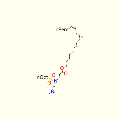 CCCCC/C=C\C/C=C\CCCCCCCCOC(=O)CCN(CCN(C)C)S(=O)(=O)CCCCCCCC